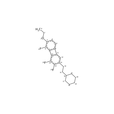 CCOc1ccc2c(c1F)-c1c-2cc(CCC2CCCCC2)c(F)c1F